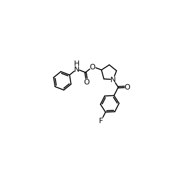 O=C(Nc1ccccc1)OC1CCN(C(=O)c2ccc(F)cc2)C1